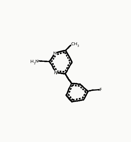 Cc1cc(-c2cccc(F)c2)nc(N)n1